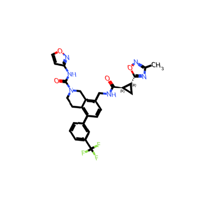 Cc1noc([C@@H]2C[C@H]2C(=O)NCc2ccc(-c3cccc(C(F)(F)F)c3)c3c2CN(C(=O)Nc2ccon2)CC3)n1